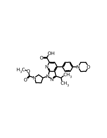 COC(=O)N1CCC(n2nc(C(C)C)c3c(-c4ccc(N5CCOCC5)cc4)cc(C(=O)O)nc32)C1